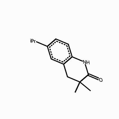 CC(C)c1ccc2c(c1)CC(C)(C)C(=O)N2